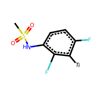 CS(=O)(=O)Nc1ccc(F)[c]([Ti])c1F